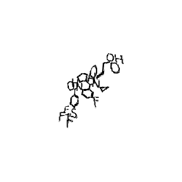 O=C(O)CCC(=O)N(C1CC1)C1c2cc(F)ccc2N(C(=O)c2ccc(SC(F)(F)F)cc2)[C@H]2CCC[C@@H]12